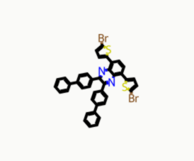 Brc1ccc(-c2ccc(-c3ccc(Br)s3)c3nc(-c4ccc(-c5ccccc5)cc4)c(-c4ccc(-c5ccccc5)cc4)nc23)s1